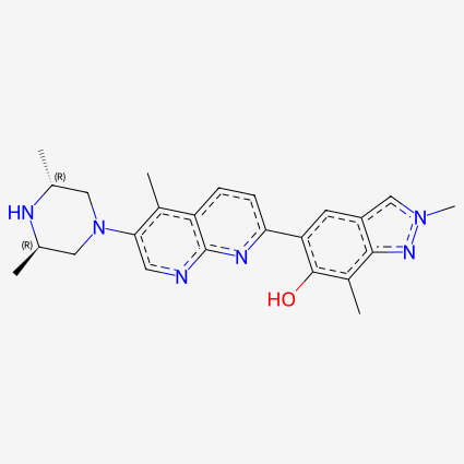 Cc1c(N2C[C@@H](C)N[C@H](C)C2)cnc2nc(-c3cc4cn(C)nc4c(C)c3O)ccc12